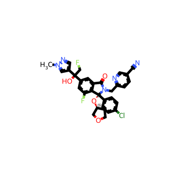 Cn1cc(C(O)(CF)c2cc(F)c3c(c2)C(=O)N(Cc2ccc(C#N)cn2)[C@@]3(O[C@H]2CCOC2)c2ccc(Cl)cc2)cn1